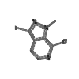 Cn1nc(I)c2ccnc(Cl)c21